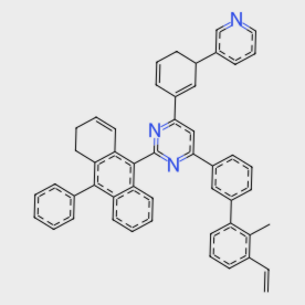 C=Cc1cccc(-c2cccc(-c3cc(C4=CC(c5cccnc5)CC=C4)nc(-c4c5c(c(-c6ccccc6)c6ccccc46)CCC=C5)n3)c2)c1C